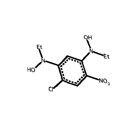 CCN(O)c1cc(N(O)CC)c([N+](=O)[O-])cc1Cl